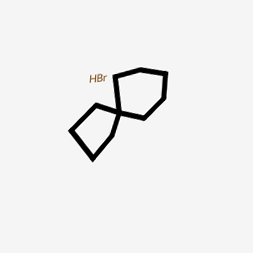 Br.C1CCC2(CC1)CCCC2